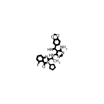 CC(Nc1ncnc(N)c1C(=N)c1ccc2c(c1)OCO2)c1nc2cccc(F)c2c(=O)n1C1CCCC1